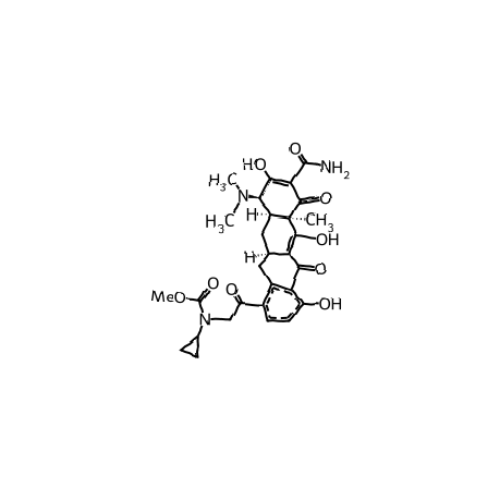 COC(=O)N(CC(=O)c1ccc(O)c2c1C[C@H]1C[C@H]3[C@@H](N(C)C)C(O)=C(C(N)=O)C(=O)[C@@]3(C)C(O)=C1C2=O)C1CC1